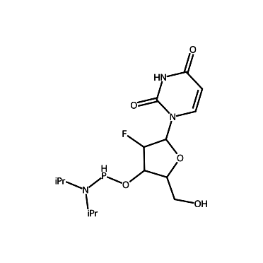 CC(C)N(POC1C(CO)OC(n2ccc(=O)[nH]c2=O)C1F)C(C)C